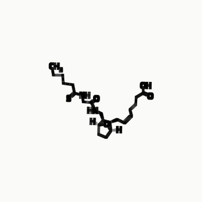 CCCCCC(=S)NCC(=O)NC[C@H]1[C@@H](C/C=C\CCCC(=O)O)[C@H]2CC[C@@H]1O2